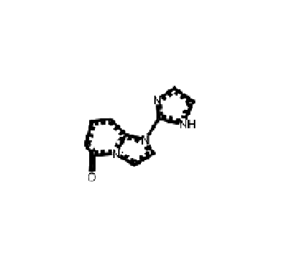 O=c1cccc2n(-c3ncc[nH]3)ccn12